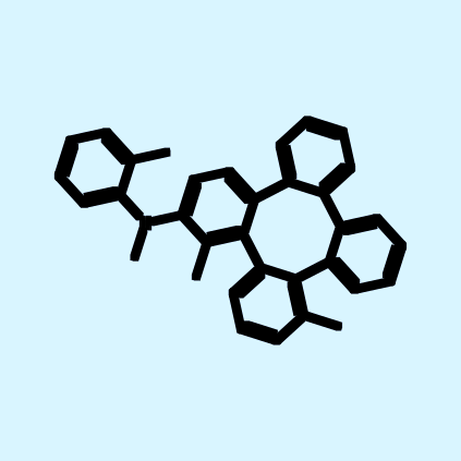 Cc1ccccc1N(C)c1ccc2c(c1C)-c1cccc(C)c1-c1ccccc1-c1ccccc1-2